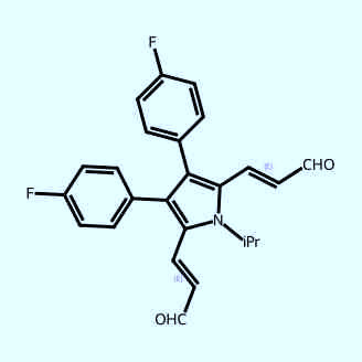 CC(C)n1c(/C=C/C=O)c(-c2ccc(F)cc2)c(-c2ccc(F)cc2)c1/C=C/C=O